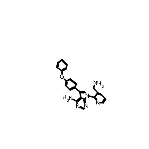 NCc1cccnc1-n1cc(-c2ccc(Oc3ccccc3)cc2)c2c(N)ncnc21